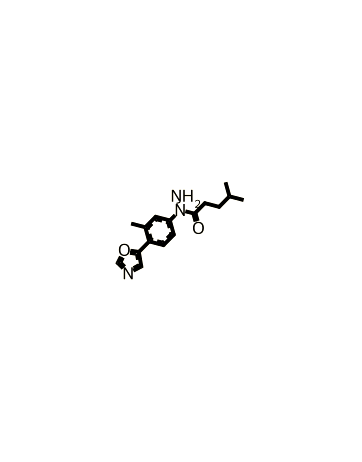 Cc1cc(N(N)C(=O)CCC(C)C)ccc1-c1cnco1